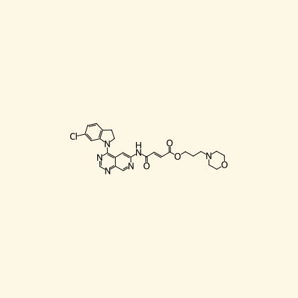 O=C(C=CC(=O)OCCCN1CCOCC1)Nc1cc2c(N3CCc4ccc(Cl)cc43)ncnc2cn1